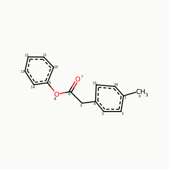 Cc1ccc(CC(=O)Oc2ccccc2)cc1